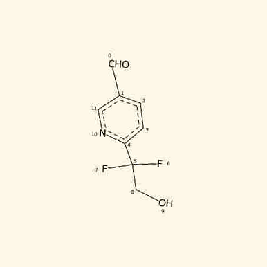 O=Cc1ccc(C(F)(F)CO)nc1